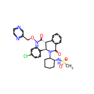 CS(=O)(=O)N[C@H]1CCCCC1N1C(=O)c2ccccc2[C@@H](C(=O)NOCc2cnccn2)[C@@H]1c1ccc(Cl)cc1